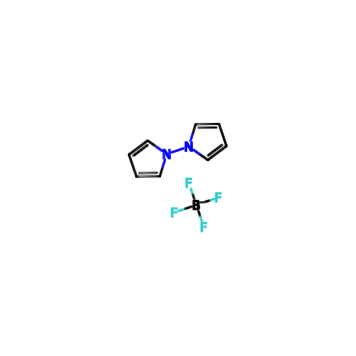 F[B-](F)(F)F.c1ccn(-n2cccc2)c1